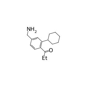 CCC(=O)c1ccc(CN)cc1C1CCCCC1